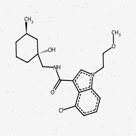 COCCn1cc(C(=O)NC[C@@]2(O)CCC[C@@H](C)C2)c2c(Cl)cccc21